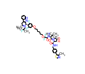 Cc1ncsc1-c1ccc(CNC(=O)[C@@H]2C[C@@H](O)CN2C(=O)[C@@H](NC(=O)C(F)(F)OCCCCCCOc2cc(F)c([C@@H]3c4[nH]c5ccccc5c4C[C@@H](C)N3CC(C)(C)F)c(F)c2)C(C)(C)C)cc1